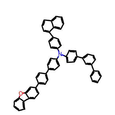 c1ccc(-c2cccc(-c3ccc(N(c4ccc(-c5ccc(-c6ccc7c(c6)oc6ccccc67)cc5)cc4)c4ccc(-c5cccc6ccccc56)cc4)cc3)c2)cc1